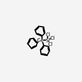 Cl[Si](Cl)(Cl)[Ge]([c]1ccccc1)([c]1ccccc1)[c]1ccccc1